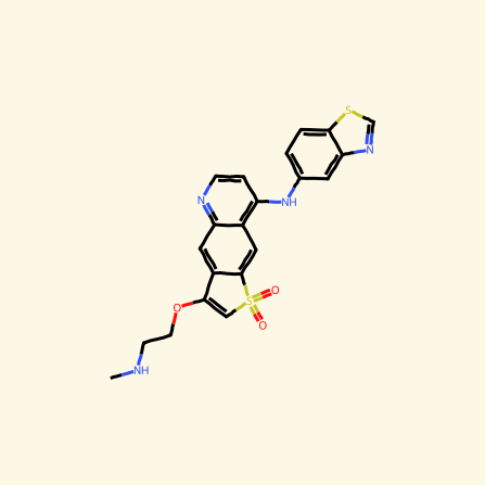 CNCCOC1=CS(=O)(=O)c2cc3c(Nc4ccc5scnc5c4)ccnc3cc21